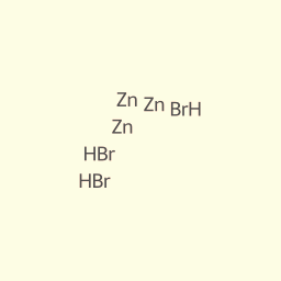 Br.Br.Br.[Zn].[Zn].[Zn]